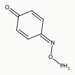 O=C1C=CC(=NOP)C=C1